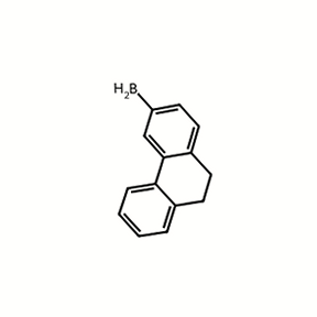 Bc1ccc2c(c1)-c1ccccc1CC2